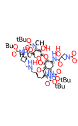 CN(C(=O)OC(C)(C)C)[C@@H]1[C@@H](O)[C@@H](O[C@@H]2[C@@H](O)[C@H](C3OC(CNC[C@H]4C[C@H](NC(=O)OC(C)(C)C)C4)=CC[C@H]3NC(=O)OC(C)(C)C)[C@@H](NC(=O)OC(C)(C)C)C[C@H]2NC(=O)C2(O)CN(C(=O)OC(C)(C)C)C2)OC[C@]1(C)O